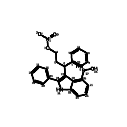 O=[N+]([O-])OCCC(c1ccccc1)c1c(-c2ccccc2)[nH]c2cccc(B(O)O)c12